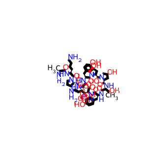 C[C@H](N)C(=O)N[C@@H](CCCCN)C(=O)N1CCC[C@H]1C(=O)N[C@@H](COP(=O)(O)O)C(=O)N[C@@H](Cc1ccc(O)cc1)C(=O)N1C[C@H](O)C[C@H]1C(=O)N1C[C@H](O)C[C@H]1C(=O)N[C@H](C(=O)N[C@@H](Cc1ccc(O)cc1)C(=O)N[C@@H](CCCCN)C(=O)O)[C@@H](C)O